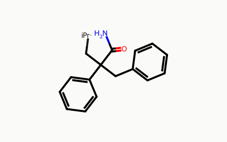 C[C](C)CC(Cc1ccccc1)(C(N)=O)c1ccccc1